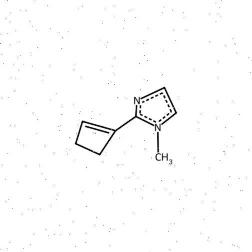 Cn1ccnc1C1=CCC1